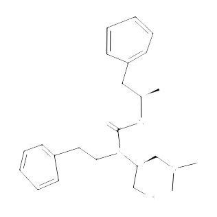 CN(C)C[C@@H](CO)N(CCc1ccccc1)C(=O)N[C@@H](Cc1ccccc1)C(=O)O